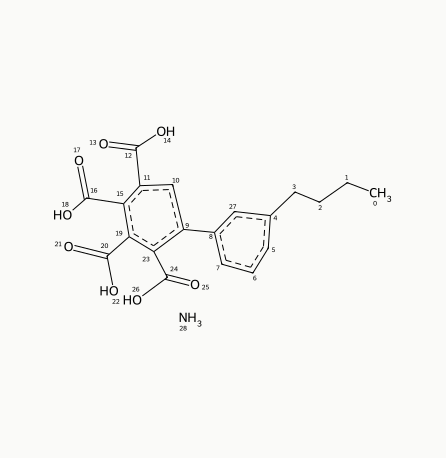 CCCCc1cccc(-c2cc(C(=O)O)c(C(=O)O)c(C(=O)O)c2C(=O)O)c1.N